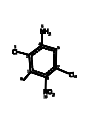 Cc1c(Cl)c(N)cc(Cl)c1[N+](=O)[O-]